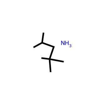 CC(C)CC(C)(C)C.N